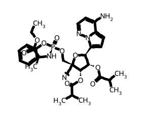 CCOC(=O)[C@H](C)N[P@@](=O)(OC[C@@]1(C#N)O[C@@H](c2ccc3c(N)ccnn23)[C@H](OC(=O)C(C)C)[C@@H]1OC(=O)C(C)C)Oc1ccccc1